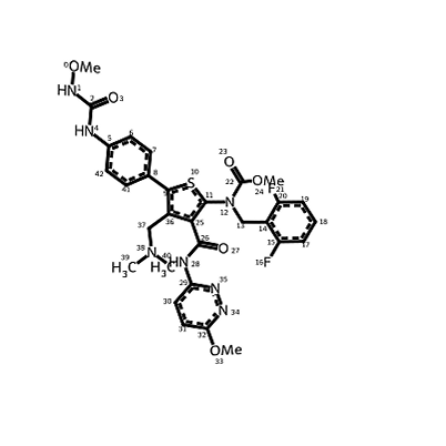 CONC(=O)Nc1ccc(-c2sc(N(Cc3c(F)cccc3F)C(=O)OC)c(C(=O)Nc3ccc(OC)nn3)c2CN(C)C)cc1